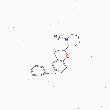 CN1CCCCC1C1CCc2cc(Cc3ccccc3)ccc2O1